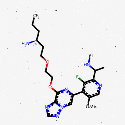 CCNC(C)c1ncc(OC)c(-c2cn3ncnc3c(OCCOCC[C@@H](N)CCC(F)(F)F)n2)c1F